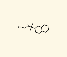 CCC(C)COC(C)(C)C1CCC2CCCCC2C1